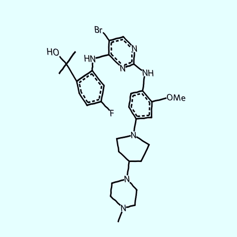 COc1cc(N2CCC(N3CCN(C)CC3)CC2)ccc1Nc1ncc(Br)c(Nc2cc(F)ccc2C(C)(C)O)n1